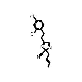 CC=CCC1(C#N)N=CC(CCc2ccc(Cl)cc2Cl)=N1